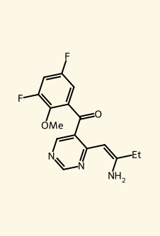 CCC(N)=Cc1ncncc1C(=O)c1cc(F)cc(F)c1OC